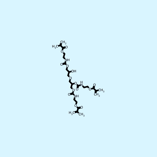 C=C(C)C(=O)OCCNC(=O)OCC(O)COCC(COC(=O)NCCOC(=O)C(=C)C)OC(=O)NCCOC(=O)C(=C)C